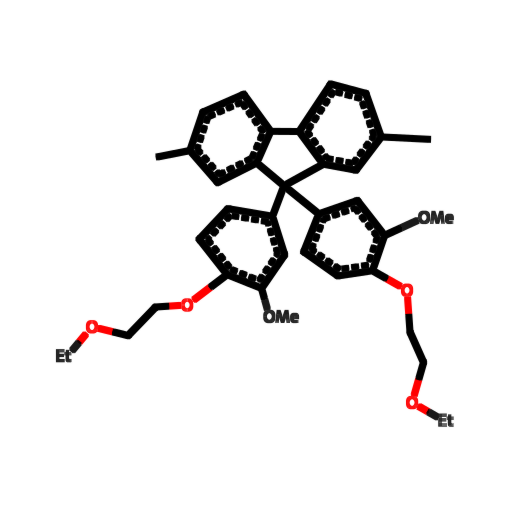 CCOCCOc1ccc(C2(c3ccc(OCCOCC)c(OC)c3)c3cc(C)ccc3-c3ccc(C)cc32)cc1OC